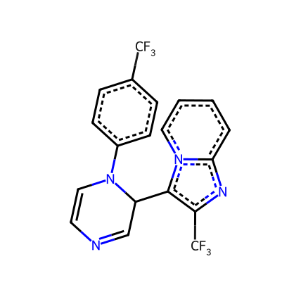 FC(F)(F)c1ccc(N2C=CN=CC2c2c(C(F)(F)F)nc3ccccn23)cc1